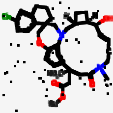 CN1CC/C=C/[C@H](O)[C@@H]2CC[C@H]2CN2C[C@@]3(CCCc4cc(Cl)ccc43)COc3ccc(cc32)[C@](CC(=O)OC(C)(C)C)(C(=O)O)CC1=O